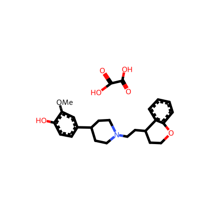 COc1cc(C2CCN(CCC3CCOc4ccccc43)CC2)ccc1O.O=C(O)C(=O)O